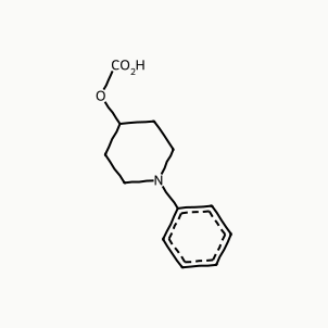 O=C(O)OC1CCN(c2ccccc2)CC1